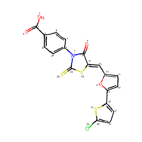 O=C(O)c1ccc(N2C(=O)C(=Cc3ccc(-c4ccc(Cl)s4)o3)SC2=S)cc1